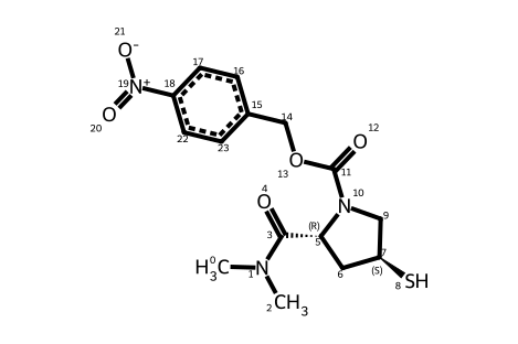 CN(C)C(=O)[C@H]1C[C@H](S)CN1C(=O)OCc1ccc([N+](=O)[O-])cc1